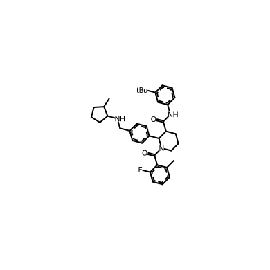 Cc1cccc(F)c1C(=O)N1CCCC(C(=O)Nc2cccc(C(C)(C)C)c2)C1c1ccc(CNC2CCCC2C)cc1